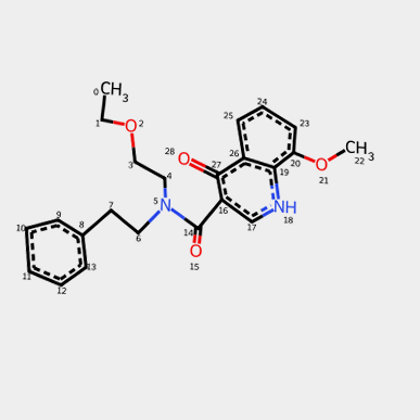 CCOCCN(CCc1ccccc1)C(=O)c1c[nH]c2c(OC)cccc2c1=O